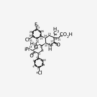 CC(C[C@@H](c1ccc(Cl)cc1)S(=O)(=O)C(C)C)[C@@H]1NC(=O)[C@](C)(CC(=O)O)C[C@@H]1c1cc(F)cc(Cl)c1